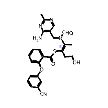 C/C(=C(\CCO)SC(=O)c1ccccc1Oc1cccc(C#N)c1)N(C=O)Cc1cnc(C)nc1N